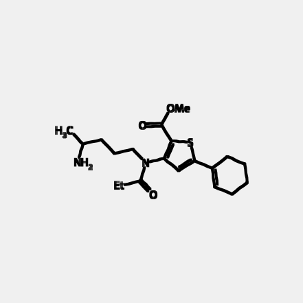 CCC(=O)N(CCCC(C)N)c1cc(C2=CCCCC2)sc1C(=O)OC